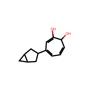 OC1=CC(C2CC3CC3C2)=CC=CC1O